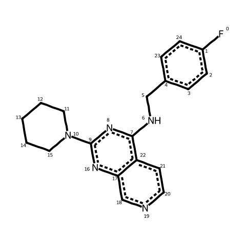 Fc1ccc(CNc2nc(N3CCCCC3)nc3cnccc23)cc1